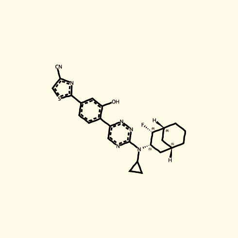 N#Cc1csc(-c2ccc(-c3cnc(N(C4CC4)[C@H]4C[C@H]5CCC[C@H](C5)[C@H]4F)nn3)c(O)c2)n1